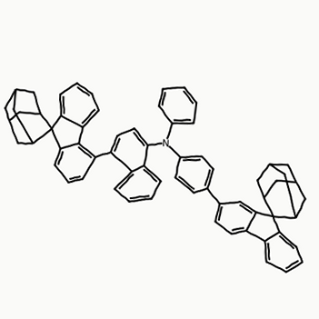 c1ccc(N(c2ccc(-c3ccc4c(c3)C3(c5ccccc5-4)C4CC5CC(C4)CC3C5)cc2)c2ccc(-c3cccc4c3-c3ccccc3C43C4CC5CC(C4)CC3C5)c3ccccc23)cc1